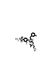 COCCN(Cc1nc(Cc2cccc(C)c2)n(-c2ccc(S(N)(=O)=O)cc2F)n1)C(C)C